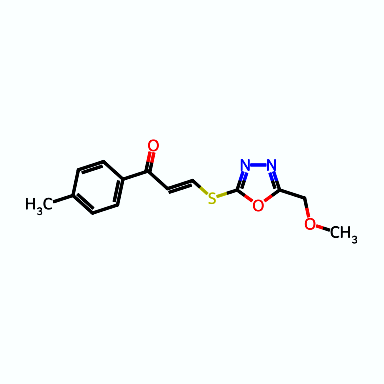 COCc1nnc(S/C=C/C(=O)c2ccc(C)cc2)o1